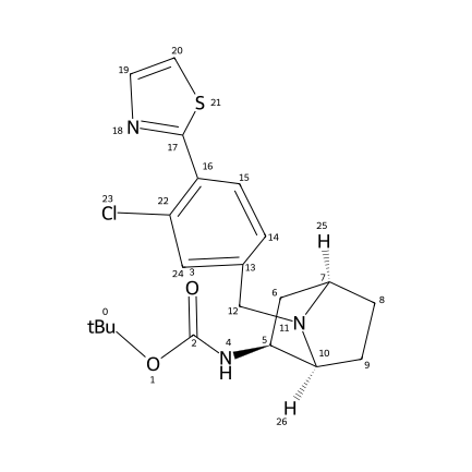 CC(C)(C)OC(=O)N[C@H]1C[C@H]2CC[C@@H]1N2Cc1ccc(-c2nccs2)c(Cl)c1